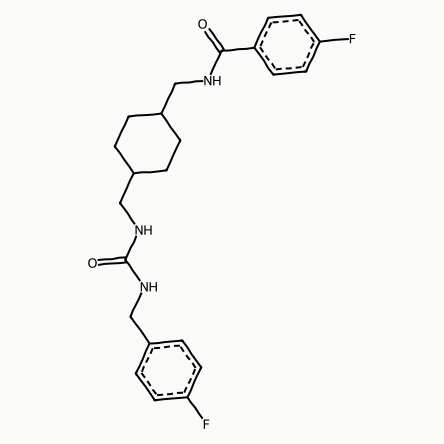 O=C(NCc1ccc(F)cc1)NCC1CCC(CNC(=O)c2ccc(F)cc2)CC1